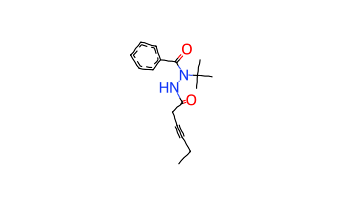 CCC#CCC(=O)NN(C(=O)c1ccccc1)C(C)(C)C